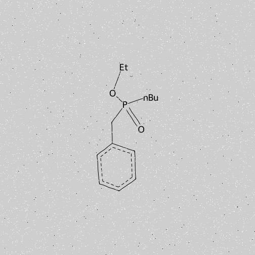 CCCCP(=O)(Cc1ccccc1)OCC